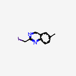 Cc1ccc2nc(CI)ncc2c1